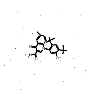 Cc1ccc2c(c1)c(=O)c(C(N)=O)cn2-c1cc(O)c(C(C)(C)C)cc1C(C)(C)C